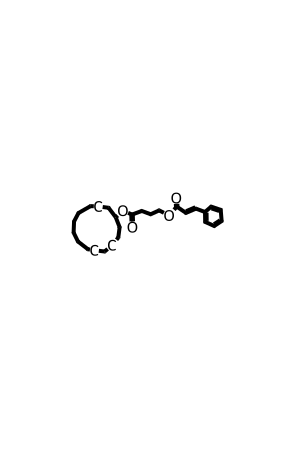 O=C(/C=C/c1ccccc1)OCCCC(=O)OC1CCCCCCCCCCCCC1